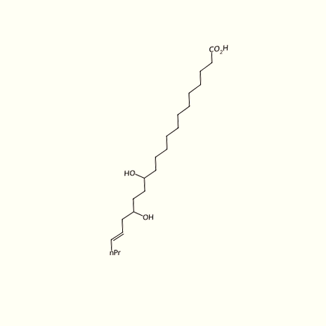 CCCC=CCC(O)CCC(O)CCCCCCCCCCCC(=O)O